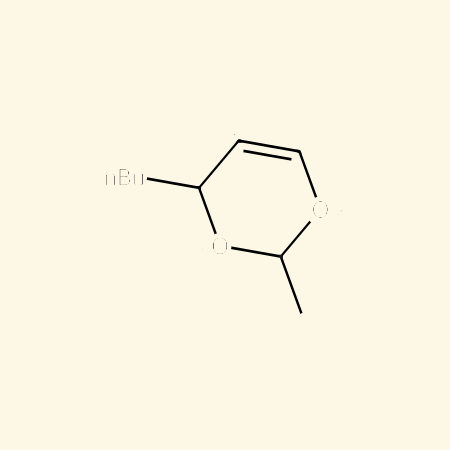 CCCCC1C=COC(C)O1